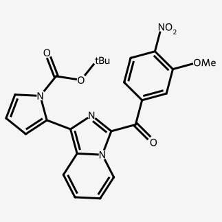 COc1cc(C(=O)c2nc(-c3cccn3C(=O)OC(C)(C)C)c3ccccn23)ccc1[N+](=O)[O-]